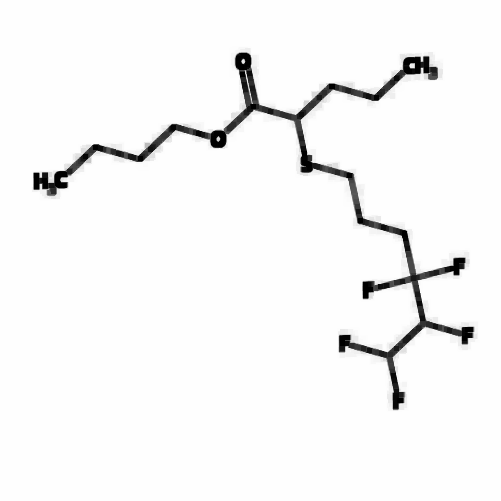 CCCCOC(=O)C(CCC)SCCCC(F)(F)C(F)C(F)F